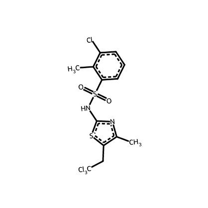 Cc1nc(NS(=O)(=O)c2cccc(Cl)c2C)sc1CC(Cl)(Cl)Cl